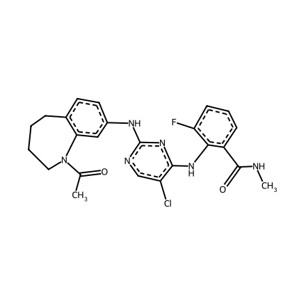 CNC(=O)c1cccc(F)c1Nc1nc(Nc2ccc3c(c2)N(C(C)=O)CCCC3)ncc1Cl